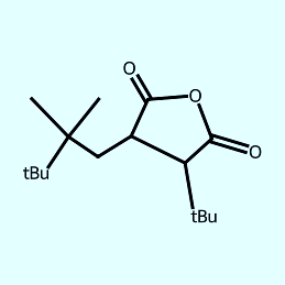 CC(C)(C)C1C(=O)OC(=O)C1CC(C)(C)C(C)(C)C